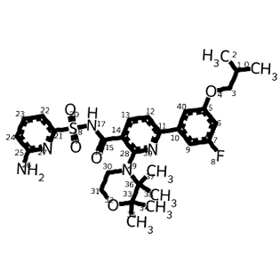 CC(C)COc1cc(F)cc(-c2ccc(C(=O)NS(=O)(=O)c3cccc(N)n3)c(N3CCOC(C)(C)C3(C)C)n2)c1